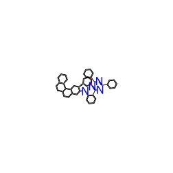 c1ccc(-c2nc(-c3ccccc3)nc(-c3ccccc3-n3c4ccccc4c4cc5c(ccc6ccc7ccccc7c65)cc43)n2)cc1